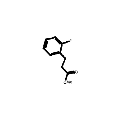 COC(=O)CCc1c[c]ccc1F